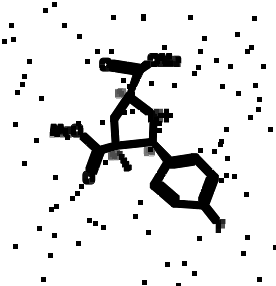 COC(=O)[C@@H]1C[C@](C)(C(=O)OC)[C@H](c2ccc(F)cc2)N1